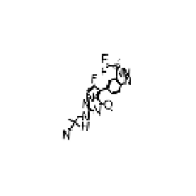 COc1nc(NCC(C)(C)C#N)nn2cc(F)c(-c3ccc4nnn([C@@H](C)C(F)F)c4c3)c12